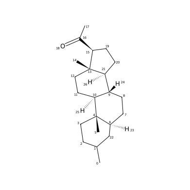 C[C]1CC[C@@]2(C)[C@@H](CC[C@@H]3[C@@H]2CC[C@]2(C)[C@@H](C(C)=O)CC[C@@H]32)C1